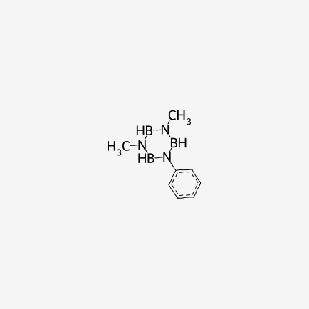 CN1BN(C)BN(c2ccccc2)B1